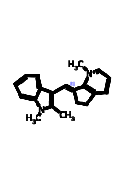 Cc1c(/C=C2\CCc3ccc[n+](C)c32)c2ccccc2n1C